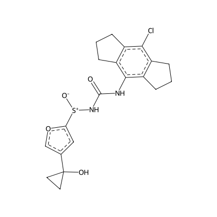 O=C(Nc1c2c(c(Cl)c3c1CCC3)CCC2)N[S+]([O-])c1cc(C2(O)CC2)co1